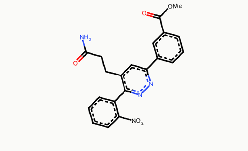 COC(=O)c1cccc(-c2cc(CCC(N)=O)c(-c3ccccc3[N+](=O)[O-])nn2)c1